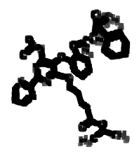 CC(C)(C)c1ccccc1.COc1ccccc1Oc1c(N=S(=O)=O)nc(-c2ncccn2)nc1OCCCCC(=O)OC(C)C